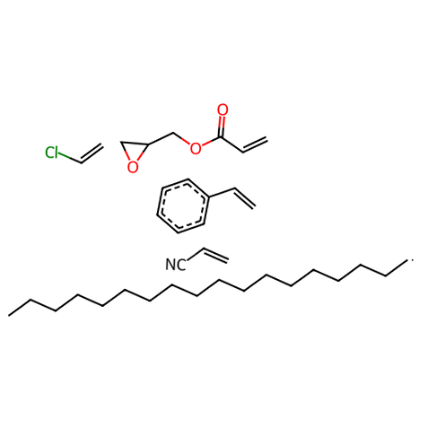 C=CC#N.C=CC(=O)OCC1CO1.C=CCl.C=Cc1ccccc1.[CH2]CCCCCCCCCCCCCCCCC